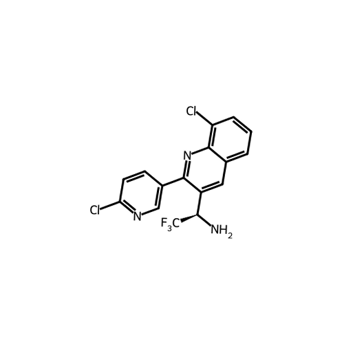 N[C@H](c1cc2cccc(Cl)c2nc1-c1ccc(Cl)nc1)C(F)(F)F